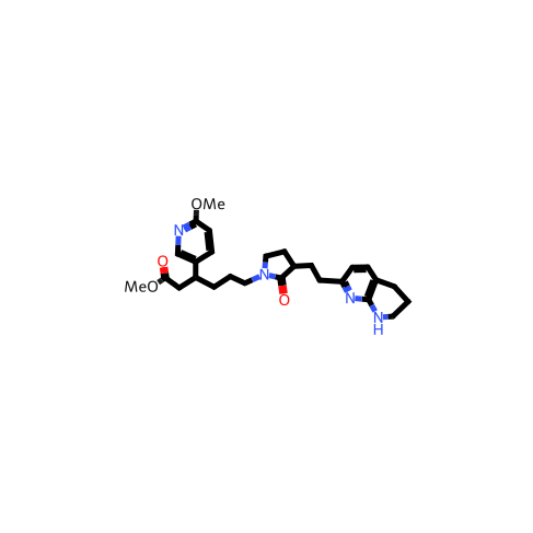 COC(=O)CC(CCCN1CCC(CCc2ccc3c(n2)NCCC3)C1=O)c1ccc(OC)nc1